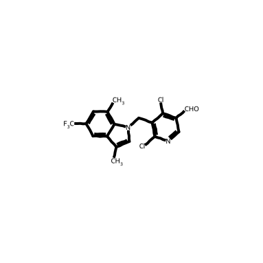 Cc1cn(Cc2c(Cl)ncc(C=O)c2Cl)c2c(C)cc(C(F)(F)F)cc12